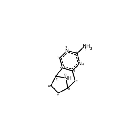 Nc1ncc2c(n1)CC1CCC2N1